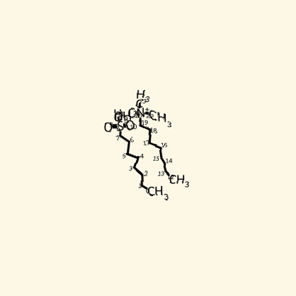 CCCCCCCCS(=O)(=O)O.CCCCCCCC[N+](C)(C)C